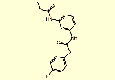 COC(=S)Nc1cccc(NC(=O)Oc2ccc(F)cc2)c1